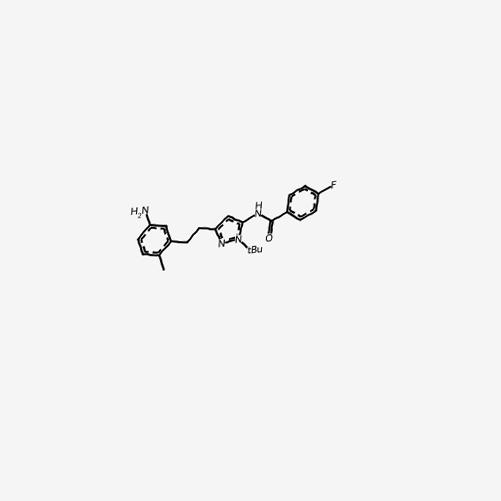 Cc1ccc(N)cc1CCc1cc(NC(=O)c2ccc(F)cc2)n(C(C)(C)C)n1